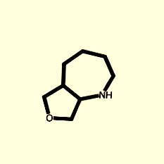 C1CCC2COCC2NC1